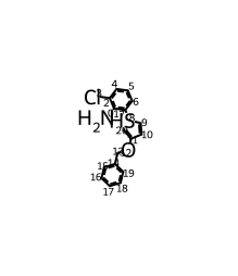 Nc1c(Cl)c[c]cc1[SH]1C=CC(OCc2ccccc2)=C1